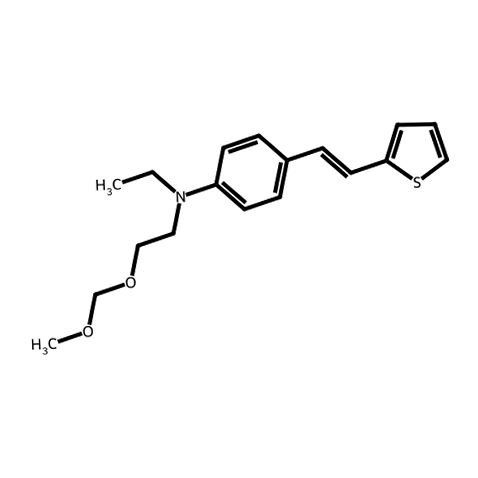 CCN(CCOCOC)c1ccc(C=Cc2cccs2)cc1